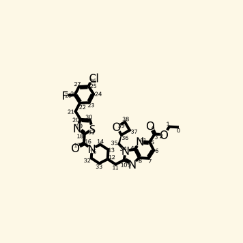 CCOC(=O)c1ccc2nc(CC3CCN(C(=O)c4nc(Cc5ccc(Cl)cc5F)cs4)CC3)n(C[C@@H]3CCO3)c2n1